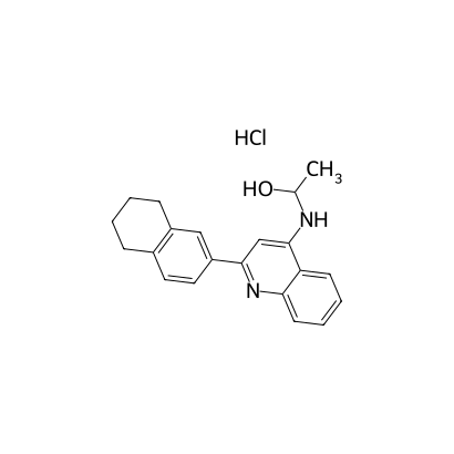 CC(O)Nc1cc(-c2ccc3c(c2)CCCC3)nc2ccccc12.Cl